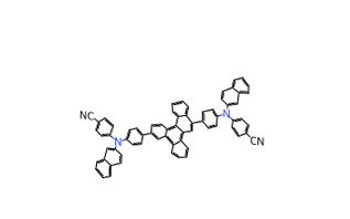 N#Cc1ccc(N(c2ccc(-c3ccc4c(c3)c3ccccc3c3cc(-c5ccc(N(c6ccc(C#N)cc6)c6ccc7ccccc7c6)cc5)c5ccccc5c43)cc2)c2ccc3ccccc3c2)cc1